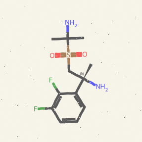 CC(C)(N)S(=O)(=O)C[C@](C)(N)c1cccc(F)c1F